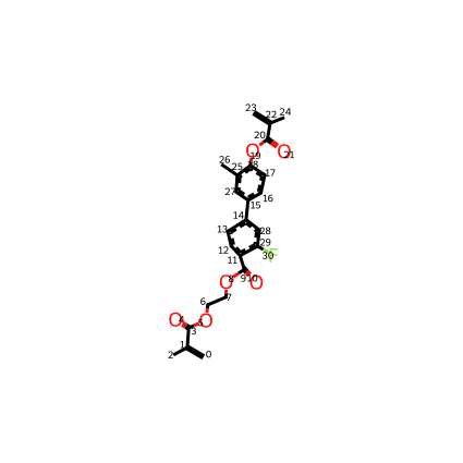 C=C(C)C(=O)OCCOC(=O)c1ccc(-c2ccc(OC(=O)C(=C)C)c(C)c2)cc1F